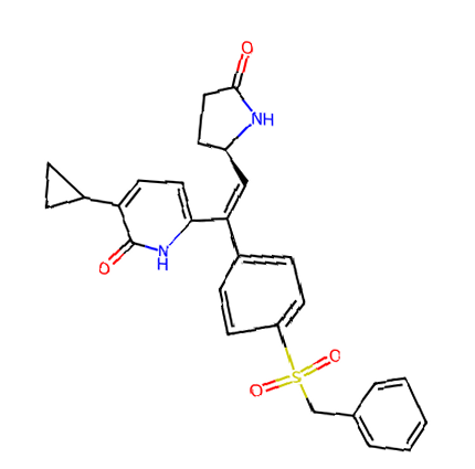 O=C1CC[C@H](/C=C(/c2ccc(S(=O)(=O)Cc3ccccc3)cc2)c2ccc(C3CC3)c(=O)[nH]2)N1